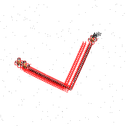 O.O.O.O.O.O.O.O.O.O.O.O.O.O.O.O.O.O.O.O.O.O.O.O.O.O.O.O.O.O.O.O.O.O.O.O.O.O.O.O.O.O.O.O.O.O.O.O.O.O.O.O.O.O.O=S(=O)([O-])[O-].O=S(=O)([O-])[O-].O=S(=O)([O-])[O-].[Al+3].[Al+3]